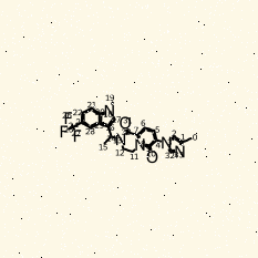 Cc1cn(-c2ccc3n(c2=O)CCN(C(C)c2cn(C)c4ccc(C(F)(F)F)cc24)C3=O)cn1